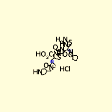 Cl.Nc1nc(/C(=N/OC2CCCC2)C(=O)N[C@@H]2C(=O)N3C(C(=O)O)=C(/C=C4\CCN(CC5CCNCC5)C4=O)CS[C@H]23)cs1